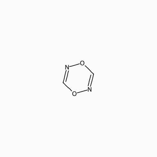 C1=NOC=NO1